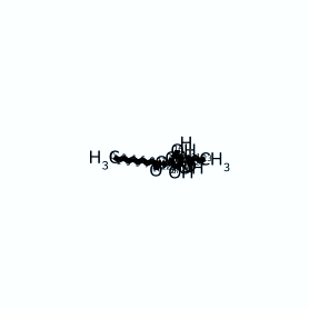 CCCCCCCCCC(=O)OC[C@H]1OC(O)[C@H](NC(=O)CCC)[C@@H](O)[C@@H]1O